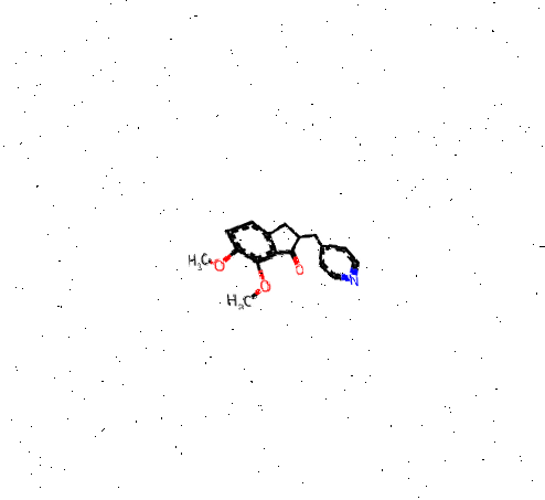 COc1ccc2c(c1OC)C(=O)C(Cc1ccncc1)C2